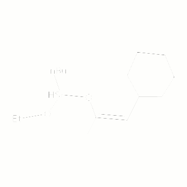 CCCC[SiH](OCC)OC(C)=CC1CCCCC1